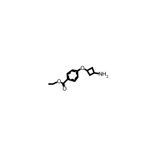 CCOC(=O)c1ccc(OC2CC(N)C2)cc1